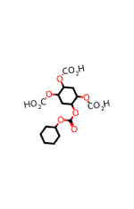 O=C(O)OC1CC(OC(=O)O)C(OC(=O)OC2CCCCC2)CC1OC(=O)O